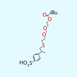 CCC(C)C(=O)OCCOCOCCSCC(C)c1ccc(S(=O)(=O)O)cc1